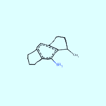 CC1CCc2cc3c(c(N)c21)CCC3